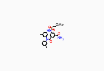 COCCS(=O)(=O)Nc1cc(C(N)=O)cc(C(=O)N(c2cccc(C)c2)c2cccc(C)c2)c1